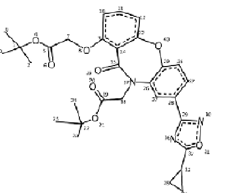 CC(C)(C)OC(=O)COc1cccc2c1C(=O)N(CC(=O)OC(C)(C)C)c1cc(-c3noc(C4CC4)n3)ccc1O2